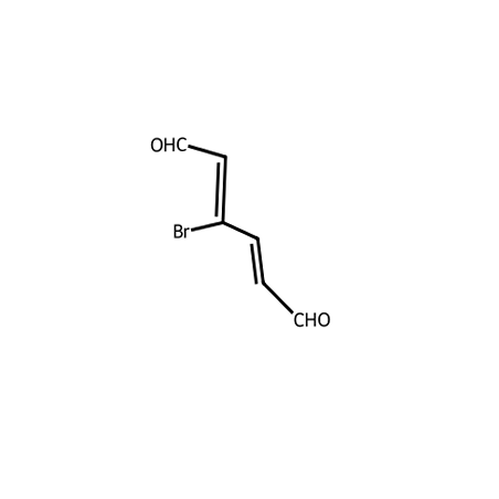 O=C/C=C(Br)/C=C/C=O